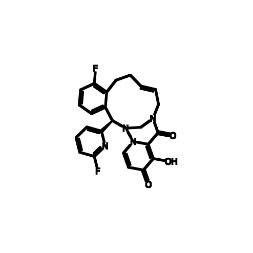 O=C1c2c(O)c(=O)ccn2N2CN1C/C=C/CCc1c(F)cccc1[C@@H]2c1cccc(F)n1